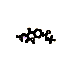 C=C(OC)/C(=C\N(C)C)C(=C)C1CCN(C(=O)OC(C)(C)C)CC1